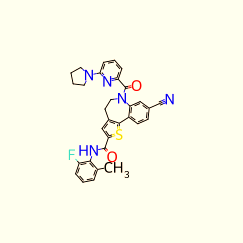 Cc1cccc(F)c1NC(=O)c1cc2c(s1)-c1ccc(C#N)cc1N(C(=O)c1cccc(N3CCCC3)n1)CC2